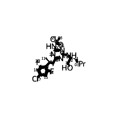 CC(C)C[C@H](CO)Nc1nc(C[C@H](C)c2c(F)cc(Cl)cc2F)nc(NS(C)(=O)=O)n1